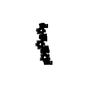 CC(C)(C)c1ccc(-c2nnc([C]3C=CC=C(c4nnc(-c5ccc(C(C)(C)C)cc5)o4)C3)o2)cc1